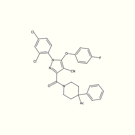 CC(=O)C1(c2ccccc2)CCN(C(=O)c2nn(-c3ccc(Cl)cc3Cl)c(Oc3ccc(F)cc3)c2C#N)CC1